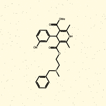 COC(=O)C1=C(C)NC(C)=C(C(=O)OCCN(C)Cc2ccccc2)C1c1cccc(N=O)c1